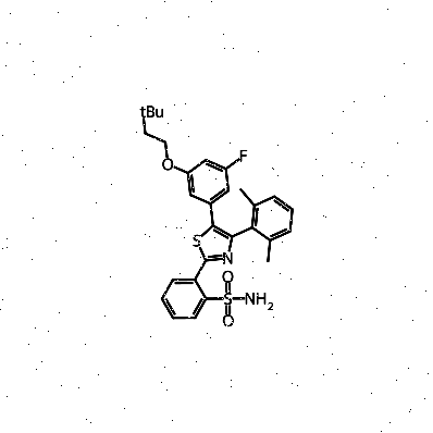 Cc1cccc(C)c1-c1nc(-c2ccccc2S(N)(=O)=O)sc1-c1cc(F)cc(OCCC(C)(C)C)c1